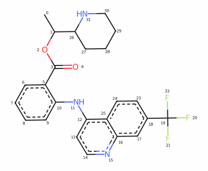 CC(OC(=O)c1ccccc1Nc1ccnc2cc(C(F)(F)F)ccc12)C1CCCCN1